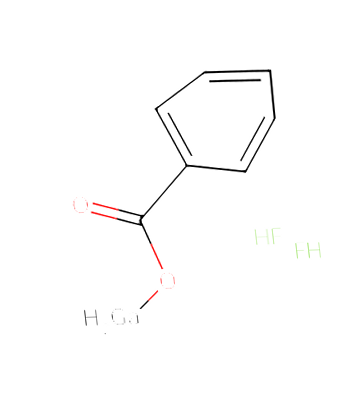 F.F.O=C([O][GaH2])c1ccccc1